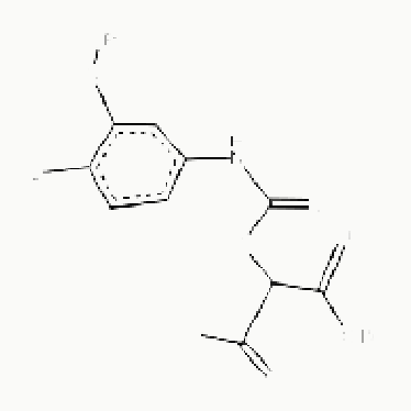 C=C(C)C(OC(=O)Nc1ccc(Cl)c(OC(C)C)c1)C(=O)OCC(C)C